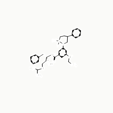 CCNc1cc(C(=O)N[C@@H](Cc2ccccc2)[C@H](O)CNC(C)C)cc(N2CC(c3ccccc3)CCS2(O)O)c1